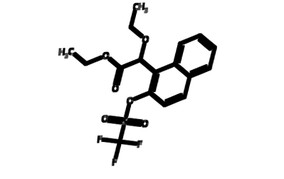 CCOC(=O)C(OCC)c1c(OS(=O)(=O)C(F)(F)F)ccc2ccccc12